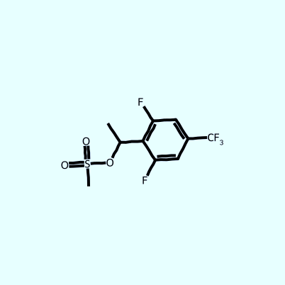 CC(OS(C)(=O)=O)c1c(F)cc(C(F)(F)F)cc1F